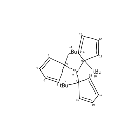 CC(C)(C)[C]1([Y]([C]2(C(C)(C)C)C=CC=C2)[C]2(C(C)(C)C)C=CC=C2)C=CC=C1